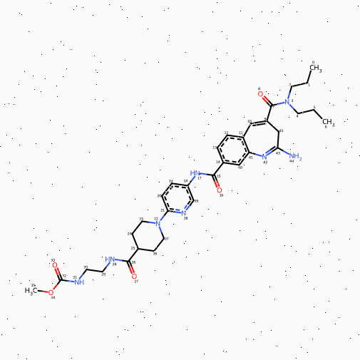 CCCN(CCC)C(=O)C1=Cc2ccc(C(=O)Nc3ccc(N4CCC(C(=O)NCCNC(=O)OC)CC4)nc3)cc2N=C(N)C1